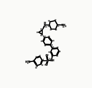 Nc1ccc(S(=O)(=O)Nc2cccc(-c3ccc([C@@H]4C[C@H]4NC4CCC(N)CC4)cc3)c2)cn1